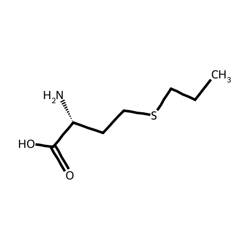 CCCSCC[C@@H](N)C(=O)O